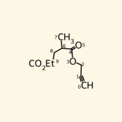 C#CCOC(=O)C(C)CC(=O)OCC